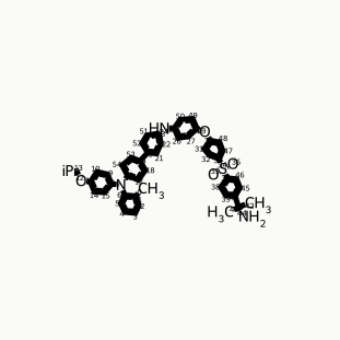 Cc1ccccc1N(c1ccc(OC(C)C)cc1)c1ccc(-c2ccc(Nc3ccc(Oc4ccc(S(=O)(=O)c5ccc(C(C)(C)N)cc5)cc4)cc3)cc2)cc1